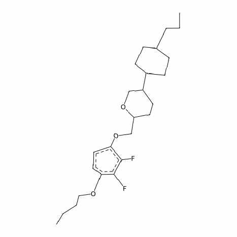 CCCCOc1ccc(OCC2CCC(C3CCC(CCC)CC3)CO2)c(F)c1F